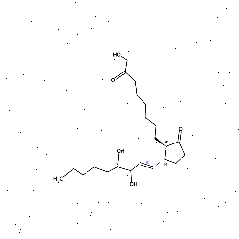 CCCCCC(O)C(O)/C=C/[C@H]1CCC(=O)[C@@H]1CCCCCCC(=O)CO